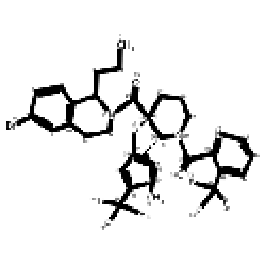 CCCC1c2ccc(Br)cc2CCN1C(=O)[C@@]1(Oc2csc(C(F)(F)F)c2)CCCN(C(=O)c2ncccc2C(F)(F)F)[C@@H]1CCC